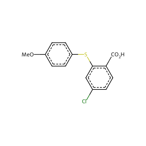 COc1ccc(Sc2cc(Cl)ccc2C(=O)O)cc1